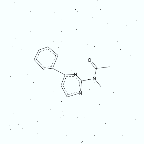 CC(=O)N(C)c1nccc(-c2ccccc2)n1